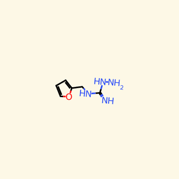 N=C(NN)NCc1ccco1